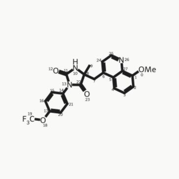 COc1cccc2c(CC3(C)NC(=O)N(c4ccc(OC(F)(F)F)cc4)C3=O)ccnc12